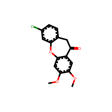 COc1cc2c(cc1OC)C(=O)Cc1ccc(Cl)cc1O2